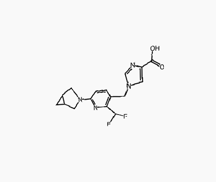 O=C(O)c1cn(Cc2ccc(N3CC4CC4C3)nc2C(F)F)cn1